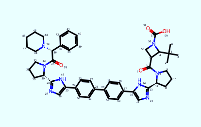 CC(C)(C)C1C(C(=O)N2CCC[C@H]2c2ncc(-c3ccc(-c4ccc(-c5cnc([C@@H]6CCCN6C(=O)[C@@H](c6ccccc6)N6CCCCC6)[nH]5)cc4)cc3)[nH]2)CN1C(=O)O